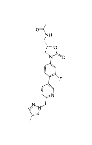 CC(=O)NC[C@H]1CN(c2ccc(-c3ccc(Cn4cc(C)nn4)nc3)c(F)c2)C(=O)O1